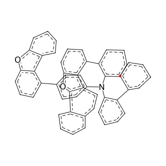 c1ccc(-c2ccccc2N(c2ccc(-c3cccc4oc5ccccc5c34)cc2)c2ccccc2-c2cccc3oc4c5ccccc5ccc4c23)cc1